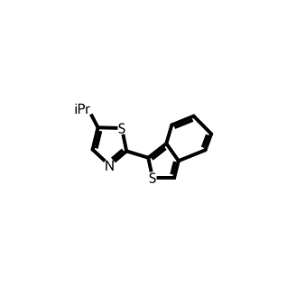 CC(C)c1cnc(-c2scc3ccccc23)s1